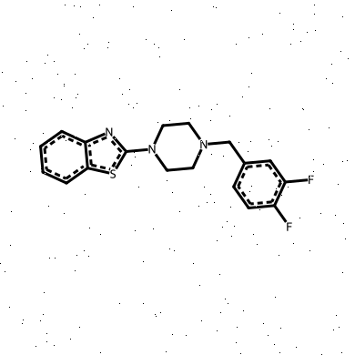 Fc1ccc(CN2CCN(c3nc4ccccc4s3)CC2)cc1F